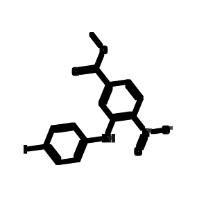 COC(=O)c1ccc([N+](=O)[O-])c(Nc2ccc(I)cc2)c1